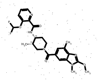 COc1nc2c(C)cc(C(=O)N3CC[C@@H](NC(=O)c4ncccc4OC(F)F)[C@@H](C)C3)cc2n1C